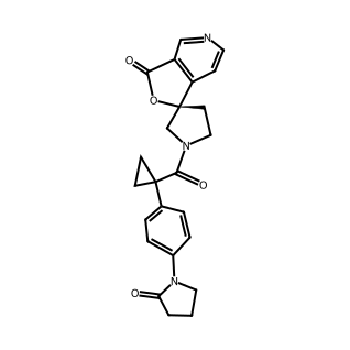 O=C1O[C@]2(CCN(C(=O)C3(c4ccc(N5CCCC5=O)cc4)CC3)C2)c2ccncc21